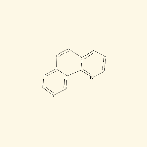 [c]1ccc2ccc3cccnc3c2c1